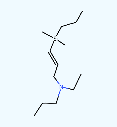 CCCN(CC)CC=C[Si](C)(C)CCC